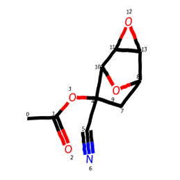 CC(=O)OC1(C#N)CC2OC1C1OC21